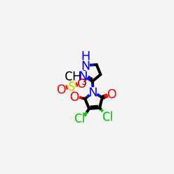 CS(=O)(=O)OC1C(Cl)=C(Cl)C(=O)N1C1=NNCC1